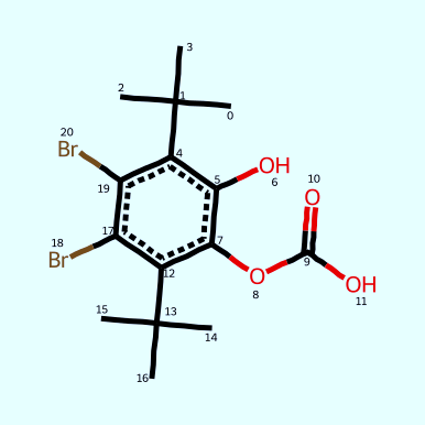 CC(C)(C)c1c(O)c(OC(=O)O)c(C(C)(C)C)c(Br)c1Br